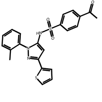 CC(=O)c1ccc(S(=O)(=O)Nc2cc(-c3cccs3)nn2-c2ccccc2C)cc1